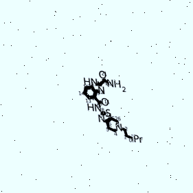 CC(C)CCN1CCc2nc(NC(=O)c3cccc4[nH]c(C(N)=O)nc34)sc2C1